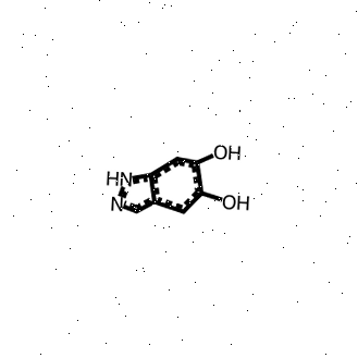 Oc1cc2cn[nH]c2cc1O